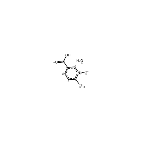 Cc1cnc(C(=O)O)c[n+]1[O-].O